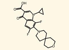 O=C(O)c1cn(C2CC2)c2c(F)c(N3CCC4(CCOCC4)CC3)c(F)cc2c1=O